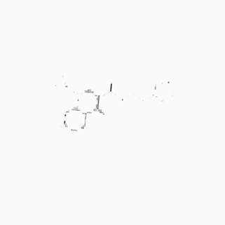 Cc1cc2c(c(Cl)c1C)c(=O)c(C(=O)NCCN1CCCC1)cn2C1CC1